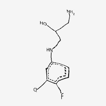 NCC(O)CNc1ccc(F)c(Cl)c1